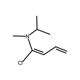 C=C/C=C(/Cl)N(C)C(C)C